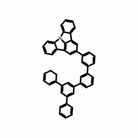 C1=CCCC(c2cc(-c3ccccc3)cc(-c3cccc(-c4cccc(-c5cc6c7ccccc7n7c8ccccc8c(c5)c67)c4)c3)c2)=C1